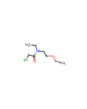 CCOCCN(CC)C(=O)CBr